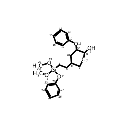 CO[Si](CCC1CCC(O)C(Oc2ccccc2)C1)(OC)Oc1ccccc1